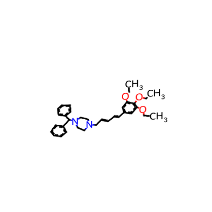 CCOc1cc(C=CC=CCN2CCN(C(c3ccccc3)c3ccccc3)CC2)cc(OCC)c1OCC